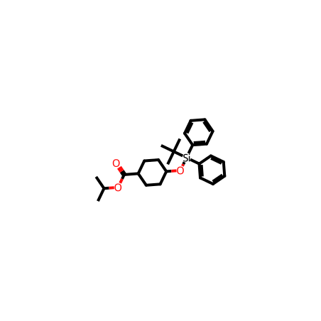 CC(C)OC(=O)C1CCC(O[Si](c2ccccc2)(c2ccccc2)C(C)(C)C)CC1